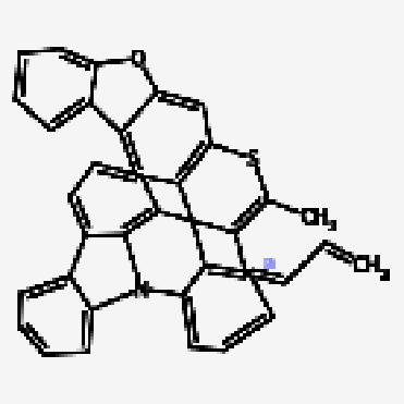 C=C/C=C\C1=C(C)Sc2cc3oc4ccccc4c3cc2C12c1ccccc1-n1c3ccccc3c3cccc2c31